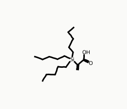 C=C(C(=O)O)[Si](CCCCC)(CCCCC)CCCCC